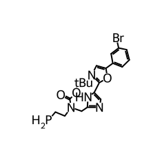 CC(C)(C)OC(=O)N(CCP)Cc1ncc(-c2ncc(-c3cccc(Br)c3)o2)[nH]1